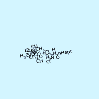 C#C[C@]1(CO[Si](C)(C)C(C)(C)C)O[C@@H](n2ccc3c(NC(=O)CCCCCCC)nc(Cl)nc32)C[C@@H]1O[Si](C)(C)C(C)(C)C